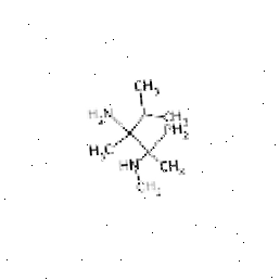 CNC(C)(P)C(C)(N)C(C)C